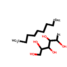 CC(=O)C(O)C(O)C(O)C(O)CO.CCCCCCCCCCCCCCCCCC(=O)O